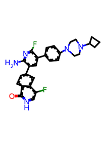 Nc1nc(F)c(-c2ccc(N3CCN(C4CCC4)CC3)cc2)cc1-c1ccc2c(=O)[nH]cc(F)c2c1